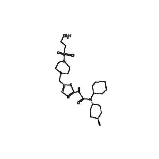 C[C@H]1CC[C@H](N(C(=O)Nc2ncc(CN3CCN(S(=O)(=O)CCC(=O)O)CC3)s2)C2CCCCC2)CC1